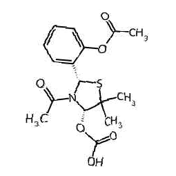 CC(=O)Oc1ccccc1[C@@H]1SC(C)(C)[C@H](OC(=O)O)N1C(C)=O